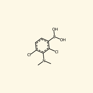 CN(C)c1c(Cl)ccc(B(O)O)c1Cl